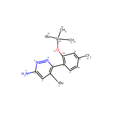 CC(C)(C)c1cc(N)nnc1-c1ccc(C(F)(F)F)cc1O[Si](C)(C)C(C)(C)C